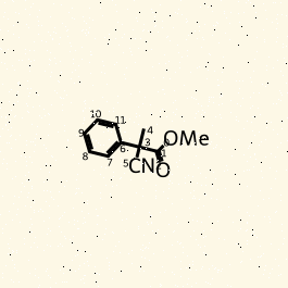 COC(=O)C(C)(C#N)c1ccccc1